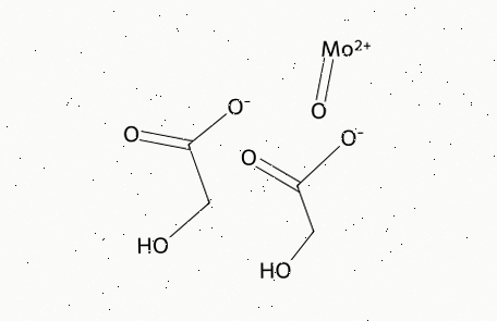 O=C([O-])CO.O=C([O-])CO.[O]=[Mo+2]